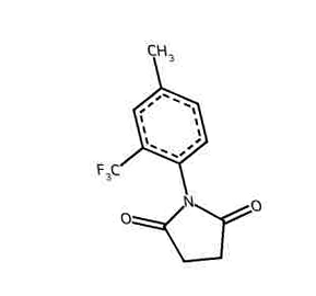 Cc1ccc(N2C(=O)CCC2=O)c(C(F)(F)F)c1